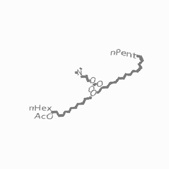 CCCCC/C=C\C/C=C\CCCCCCCCC(COCCCCCCCC/C=C\C[C@@H](CCCCCC)OC(C)=O)OC(=O)OCCCN(C)C